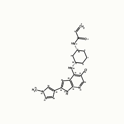 C=CC(=O)N[C@@H]1CCC[C@H](Nc2c(Cl)cnc3[nH]c(-c4cnn(C)c4)cc23)C1